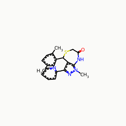 Cc1ccc(C)c(C2SCC(=O)Nc3c2c(-c2ccccn2)nn3C)c1